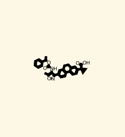 Cc1onc(-c2ccc3c(c2)CCc2cc(C4(C(=O)O)CC4)ccc2-3)c1NC(=O)OC(C)c1ccccc1